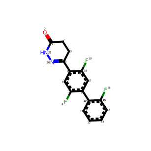 O=C1CCC(c2cc(F)c(-c3ccccc3F)cc2F)=NN1